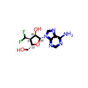 Nc1ncnc2c1ncn2[C@@H]1O[C@H](CO)[C@@H](C(F)F)[C@H]1O